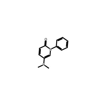 CN(C)c1ccc(=O)n(-c2ccccc2)c1